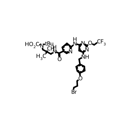 CC(C)(CNC(=O)c1ccc(Nc2cc(NCc3ccc(OCCCBr)cc3)nc(OCC(F)(F)F)n2)nc1)CN(C(=O)O)C(C)(C)C